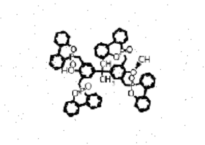 C#COc1c(CP2(=O)Oc3ccccc3-c3ccccc32)cc(C(C)(C)c2cc(CP3(=O)Oc4ccccc4-c4ccccc43)c(O)c(CP3(=O)Oc4ccccc4-c4ccccc43)c2)cc1CP1(=O)Oc2ccccc2-c2ccccc21